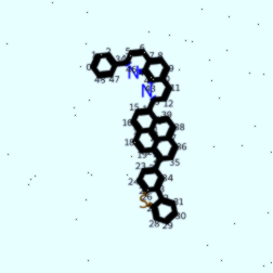 c1ccc(-c2ccc3ccc4ccc(-c5ccc6ccc7c(-c8ccc9sc%10ccccc%10c9c8)ccc8ccc5c6c87)nc4c3n2)cc1